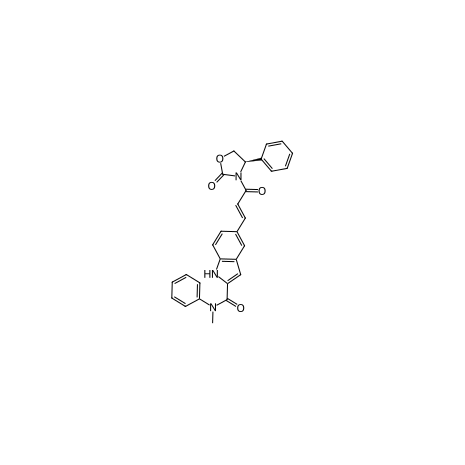 CN(C(=O)c1cc2cc(/C=C/C(=O)N3C(=O)OC[C@H]3c3ccccc3)ccc2[nH]1)c1ccccc1